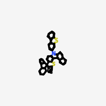 C1=CC2=C(CC1)C1(c3ccccc3Sc3c1ccc1c3c3c4ccccc4ccc3n1-c1ccc3c(c1)sc1ccccc13)c1ccccc12